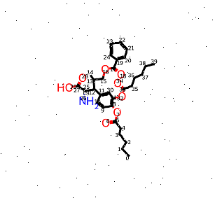 CCCCCC(=O)Oc1ccc(C(C(C)COC(=O)c2ccccc2)[C@H](N)C(=O)O)cc1OC(=O)CCCCC